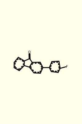 O=C1c2ccccc2-c2ccc(-c3ccc(F)cc3)cc21